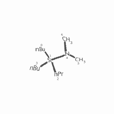 CCCC[Si](CCC)(CCCC)N(C)C